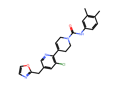 Cc1ccc(NC(=O)N2CC=C(c3ncc(Cc4ncco4)cc3Cl)CC2)cc1C